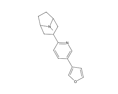 CN1C2CCC1CC(c1ccc(-c3ccoc3)cn1)C2